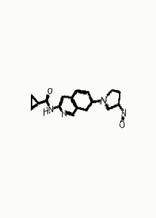 O=NC1CCN(C2C=Cc3cc(NC(=O)C4CC4)ncc3C2)C1